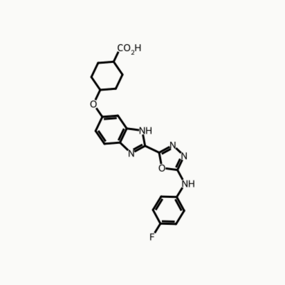 O=C(O)C1CCC(Oc2ccc3nc(-c4nnc(Nc5ccc(F)cc5)o4)[nH]c3c2)CC1